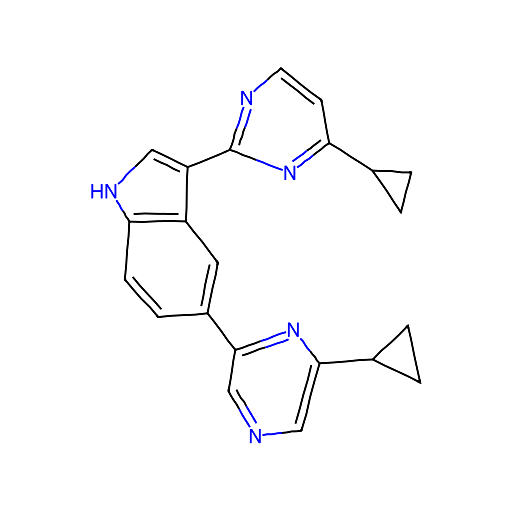 c1cc(C2CC2)nc(-c2c[nH]c3ccc(-c4cncc(C5CC5)n4)cc23)n1